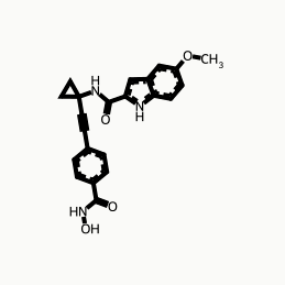 COc1ccc2[nH]c(C(=O)NC3(C#Cc4ccc(C(=O)NO)cc4)CC3)cc2c1